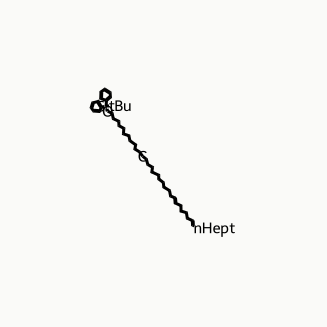 CCCCCCCC=CCCCCC=CCCCCCCCCCCCCCCCCCCCCCCO[Si](c1ccccc1)(c1ccccc1)C(C)(C)C